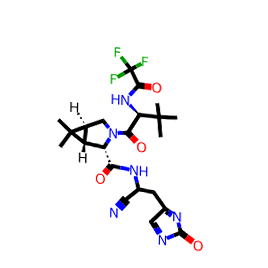 CC(C)(C)[C@H](NC(=O)C(F)(F)F)C(=O)N1C[C@H]2[C@H]([C@H]1C(=O)NC(C#N)CC1=NC(=O)N=C1)C2(C)C